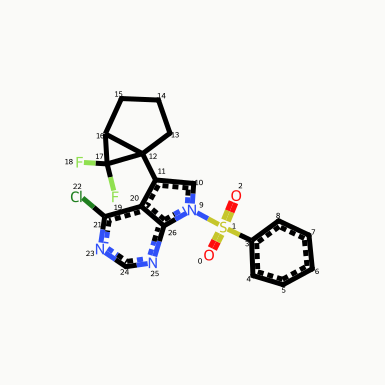 O=S(=O)(c1ccccc1)n1cc(C23CCCC2C3(F)F)c2c(Cl)ncnc21